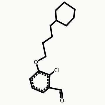 O=Cc1cccc(OCCCCC2CCCCC2)c1Cl